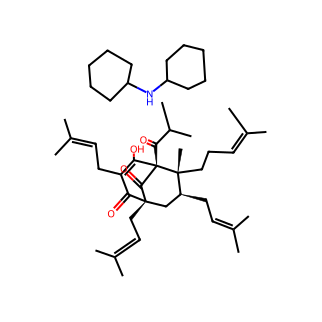 C1CCC(NC2CCCCC2)CC1.CC(C)=CCC[C@]1(C)[C@@H](CC=C(C)C)C[C@]2(CC=C(C)C)C(=O)C(CC=C(C)C)=C(O)[C@@]1(C(=O)C(C)C)C2=O